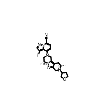 C[C@@H]1CN(c2ccc(C#N)n3ncc(F)c23)Cc2c3c(nn21)CN(C1CCOC1)[C@@H](C)C3